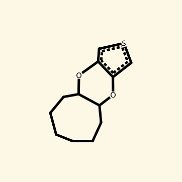 c1scc2c1OC1CCCCCCC1O2